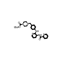 CC(C)(C)OC(=O)N1CCN(Cc2ccc(Nc3ncccc3NC(=O)c3ccccn3)cc2)CC1